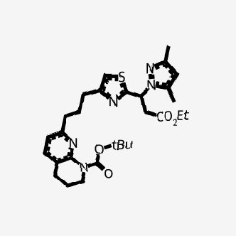 CCOC(=O)CC(c1nc(CCCc2ccc3c(n2)N(C(=O)OC(C)(C)C)CCC3)cs1)n1nc(C)cc1C